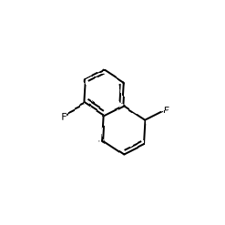 Fc1cccc2c1[CH]C=CC2F